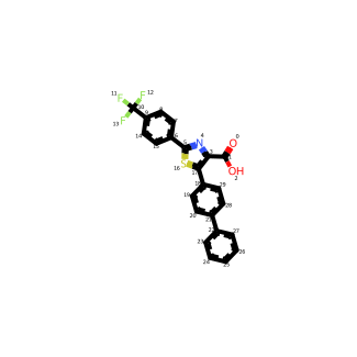 O=C(O)c1nc(-c2ccc(C(F)(F)F)cc2)sc1-c1ccc(-c2ccccc2)cc1